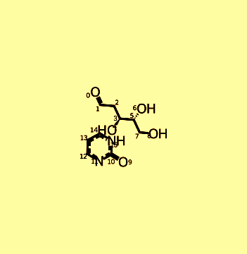 O=CC[C@H](O)[C@H](O)CO.O=c1nccc[nH]1